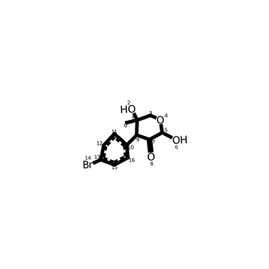 CC1(O)COC(O)C(=O)C1c1ccc(Br)cc1